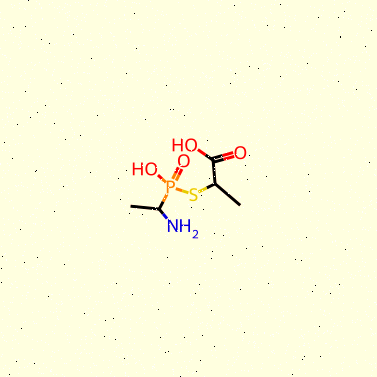 CC(SP(=O)(O)C(C)N)C(=O)O